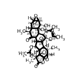 CC(=O)O[C@H]1[C@@H]2[C@H]([C@H](C)[C@H]3O[C@]34OC(=O)[C@@](C)(O)[C@]24C)[C@]2(C)[C@@H]1C1C(=O)[C@@H](C)[C@H]3C[C@@H]4O[C@@H]4[C@H](O)[C@]3(C)C1[C@H](OC(C)=O)[C@@H]2OC(C)=O